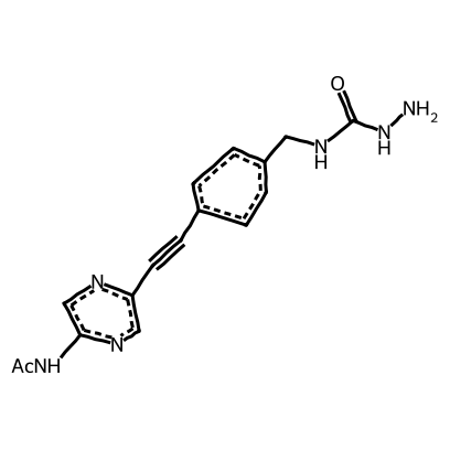 CC(=O)Nc1cnc(C#Cc2ccc(CNC(=O)NN)cc2)cn1